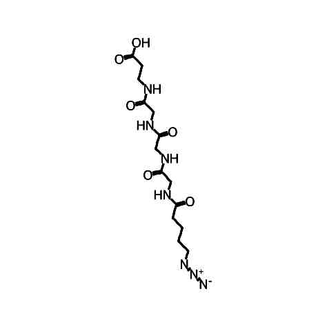 [N-]=[N+]=NCCCCC(=O)NCC(=O)NCC(=O)NCC(=O)NCCC(=O)O